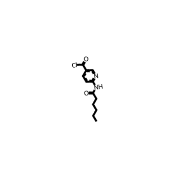 CCCCCC(=O)Nc1ccc(C(=O)Cl)cn1